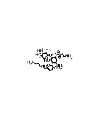 CN[C@@H]1[C@@H](O)[C@@H](O[C@@H]2[C@@H](O)[C@H](C3OC(CNCCCN)=CC[C@H]3N)[C@@H](N)C[C@H]2NS(=O)(=O)CCN)OC[C@]1(C)O